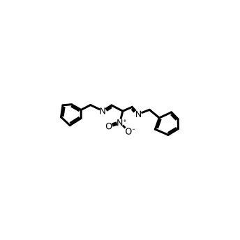 O=[N+]([O-])C(C=NCc1ccccc1)C=NCc1ccccc1